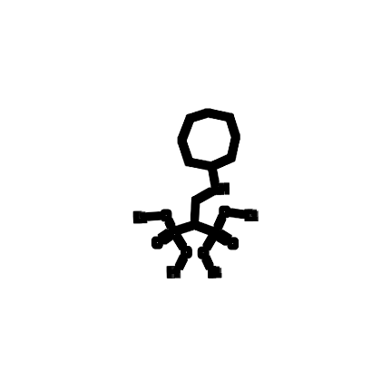 CCOP(=O)(OCC)C(CNC1CCCCCCC1)P(=O)(OCC)OCC